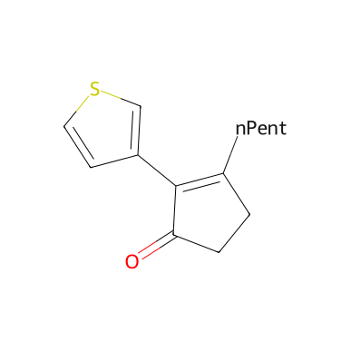 CCCCCC1=C(c2ccsc2)C(=O)CC1